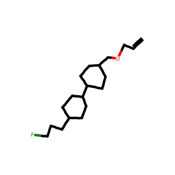 C=CCOCC1CCC(C2CCC(CCCF)CC2)CC1